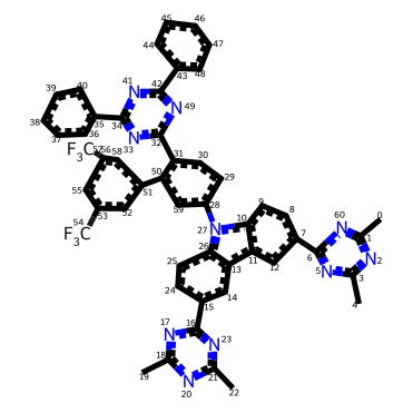 Cc1nc(C)nc(-c2ccc3c(c2)c2cc(-c4nc(C)nc(C)n4)ccc2n3-c2ccc(-c3nc(-c4ccccc4)nc(-c4ccccc4)n3)c(-c3cc(C(F)(F)F)cc(C(F)(F)F)c3)c2)n1